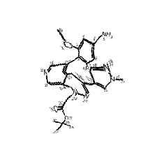 COc1cc(N)cc(F)c1-c1cncc2c1c(-c1cnn(C)c1)nn2C(=O)OC(C)(C)C